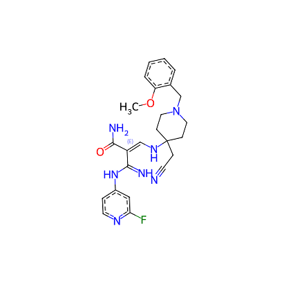 COc1ccccc1CN1CCC(CC#N)(N/C=C(\C(=N)Nc2ccnc(F)c2)C(N)=O)CC1